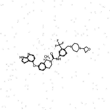 C[C@H]1c2cc(Oc3ccnc4[nH]ccc34)ccc2CCN1C(=O)Nc1ccc(CN2CCN(C3COC3)CC2)c(C(F)(F)F)c1